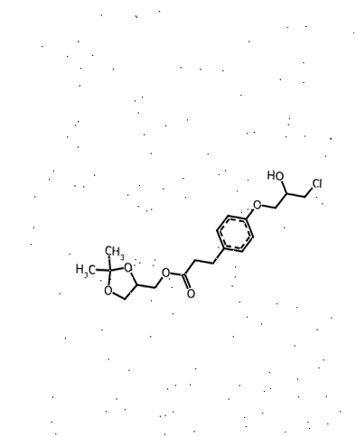 CC1(C)OCC(COC(=O)CCc2ccc(OCC(O)CCl)cc2)O1